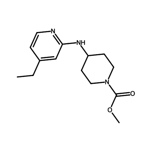 CCc1ccnc(NC2CCN(C(=O)OC)CC2)c1